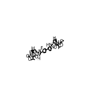 COC(=O)N[C@H](C(=O)N1[C@@H]2C[C@@H]2C[C@H]1c1nc(-c2ccc(-c3ccc4nc([C@@H]5C[C@H]6C[C@H]6N5C(=O)[C@@H](NC(=O)OC)C(C)C)[nH]c4c3)cc2F)c[nH]1)C(C)C